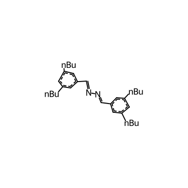 CCCCc1cc(C=NN=Cc2cc(CCCC)cc(CCCC)c2)cc(CCCC)c1